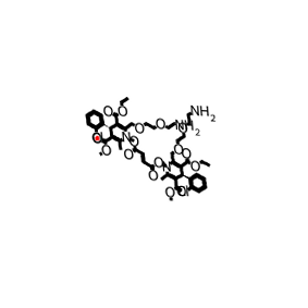 CCOC(=O)C1=C(COCCOCCN)N(OC(=O)/C=C/C(=O)ON2C(C)=C(C(=O)OC)[C@H](c3ccccc3Cl)C(C(=O)OCC)=C2COCCOCCN)C(C)=C(C(=O)OC)[C@@H]1c1ccccc1Cl